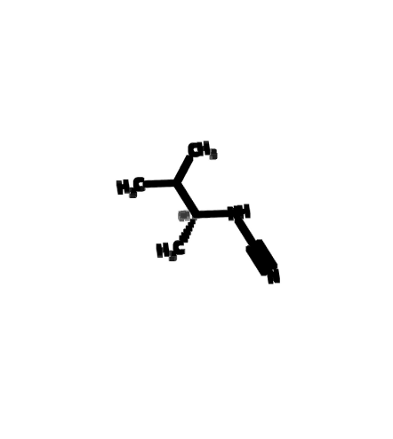 CC(C)[C@@H](C)NC#N